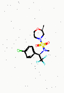 C[C@H]1CN(S(=O)(=O)N(C)[C@H](c2ccc(Cl)cc2)C(F)(F)F)CCO1